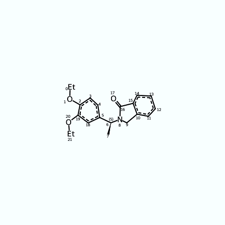 CCOc1ccc([C@H](C)N2Cc3ccccc3C2=O)cc1OCC